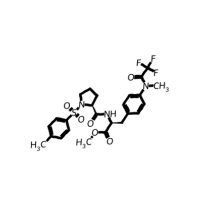 COC(=O)[C@H](Cc1ccc(N(C)C(=O)C(F)(F)F)cc1)NC(=O)[C@@H]1CCCN1S(=O)(=O)c1ccc(C)cc1